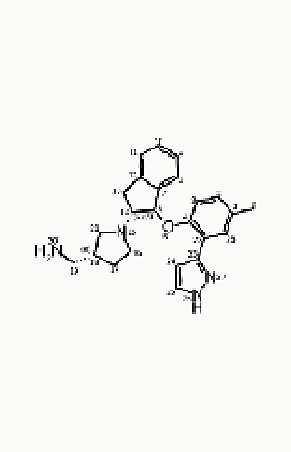 Cc1ccc(O[C@@H]2c3ccccc3C[C@H]2N2CC[C@H](CN)C2)c(-c2cc[nH]n2)c1